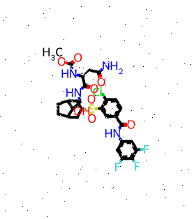 COC(=O)N[C@@H](CC(N)=O)C(=O)NC[C@]1(O)C2CCC1C[C@@H](S(=O)(=O)c1cc(C(=O)Nc3cc(F)c(F)c(F)c3)ccc1Cl)C2